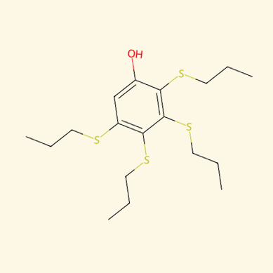 CCCSc1cc(O)c(SCCC)c(SCCC)c1SCCC